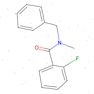 CN(Cc1cc[c]cc1)C(=O)c1ccccc1F